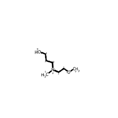 COCCN(C)CCCO